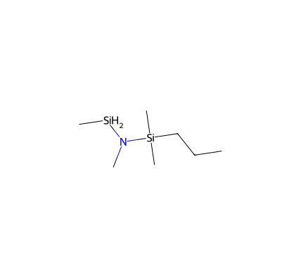 CCC[Si](C)(C)N(C)[SiH2]C